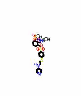 CS(=O)(=O)OC1(C(=O)NCC#N)CCCCC1CS(=O)(=O)c1ccc(SCCNc2ccncc2)cc1